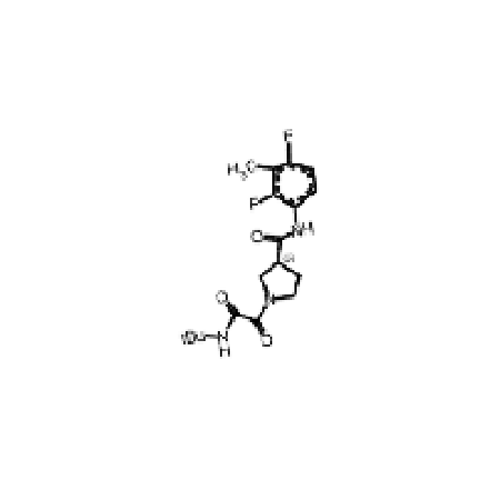 Cc1c(F)ccc(NC(=O)[C@H]2CCN(C(=O)C(=O)NC(C)(C)C)C2)c1F